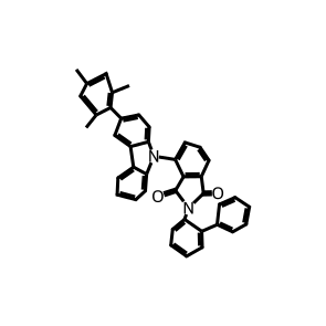 Cc1cc(C)c(-c2ccc3c(c2)c2ccccc2n3-c2cccc3c2C(=O)N(c2ccccc2-c2ccccc2)C3=O)c(C)c1